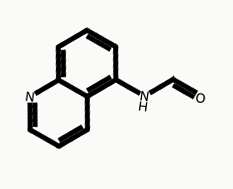 O=[C]Nc1cccc2ncccc12